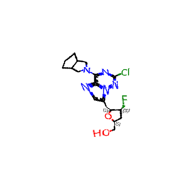 OC[C@@H]1C[C@H](F)[C@H](c2cnc3c(N4CC5CCCC5C4)nc(Cl)nn23)O1